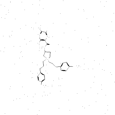 COc1ccc(CCC[N+]2(CCCc3ccc(OC)cc3)CCC(NC(=O)c3nc(Cl)c(N)nc3N)C2)cc1